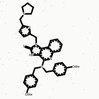 COc1ccc(CN(Cc2ccc(OC)cc2)c2nc3ccccc3c3c2[nH]c(=S)n3Cc2ccc(CN3CCCC3)s2)cc1